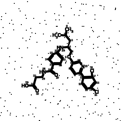 CC(C)C[C@@H](COc1ccc(-c2ccc(Cl)cc2Cl)nc1)Nc1ccc(C(=O)NCCC(=O)O)cc1